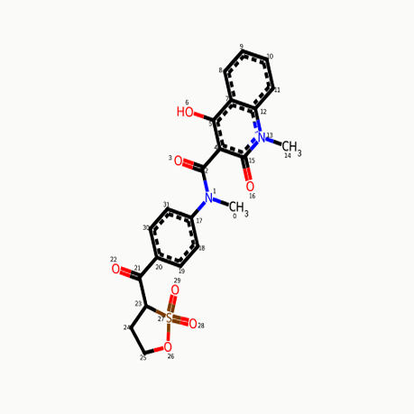 CN(C(=O)c1c(O)c2ccccc2n(C)c1=O)c1ccc(C(=O)C2CCOS2(=O)=O)cc1